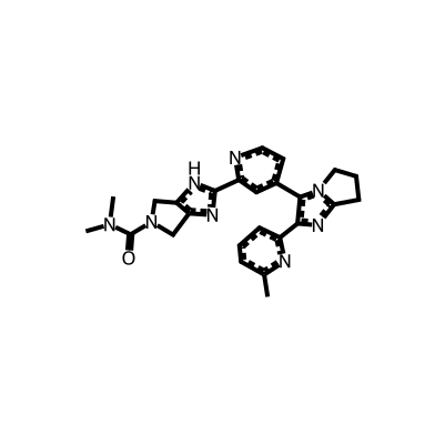 Cc1cccc(-c2nc3n(c2-c2ccnc(-c4nc5c([nH]4)CN(C(=O)N(C)C)C5)c2)CCC3)n1